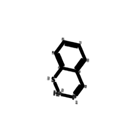 C1=PPSc2ccccc21